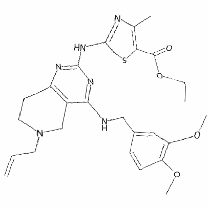 C=CCN1CCc2nc(Nc3nc(C)c(C(=O)OCC)s3)nc(NCc3ccc(OC)c(OC)c3)c2C1